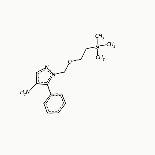 C[Si](C)(C)CCOCn1ncc(N)c1-c1ccccc1